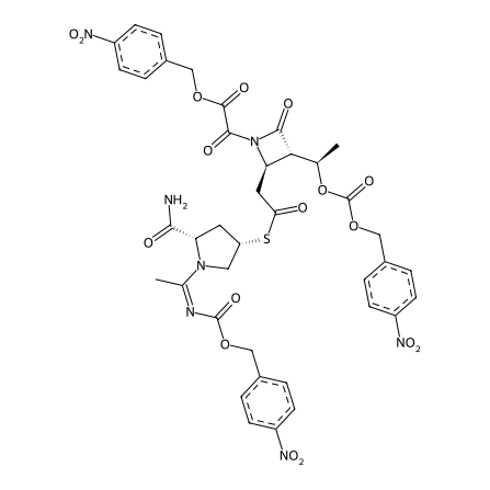 CC(=NC(=O)OCc1ccc([N+](=O)[O-])cc1)N1C[C@@H](SC(=O)C[C@@H]2[C@@H]([C@@H](C)OC(=O)OCc3ccc([N+](=O)[O-])cc3)C(=O)N2C(=O)C(=O)OCc2ccc([N+](=O)[O-])cc2)C[C@H]1C(N)=O